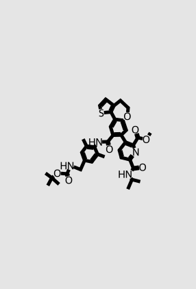 COC(=O)c1nc(C(=O)NC(C)C)ccc1-c1cc2c(cc1C(=O)Nc1c(C)cc(CNC(=O)OC(C)(C)C)cc1C)-c1sccc1CCO2